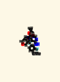 COc1ccc(F)c(Nc2ncnc(OC3C4COCC3CN(C(=O)OC3(C)CC3)C4)c2F)c1F